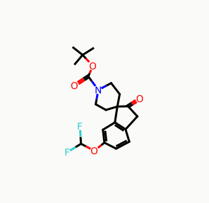 CC(C)(C)OC(=O)N1CCC2(CC1)C(=O)Cc1ccc(OC(F)F)cc12